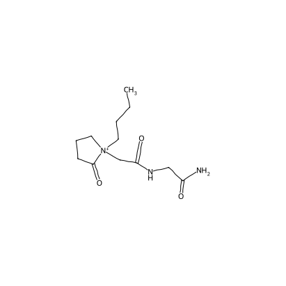 CCCC[N+]1(CC(=O)NCC(N)=O)CCCC1=O